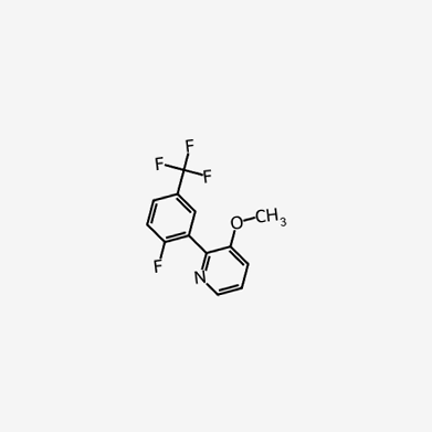 COc1cccnc1-c1cc(C(F)(F)F)ccc1F